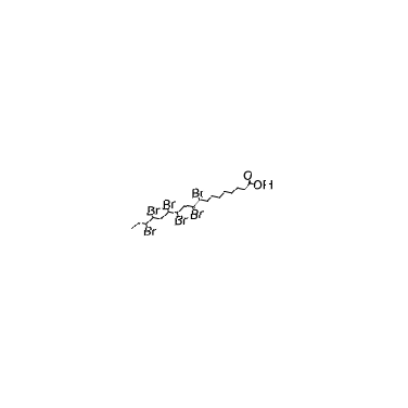 CCC(Br)C(Br)CC(Br)C(Br)CC(Br)C(Br)CCCCCCCC(=O)O